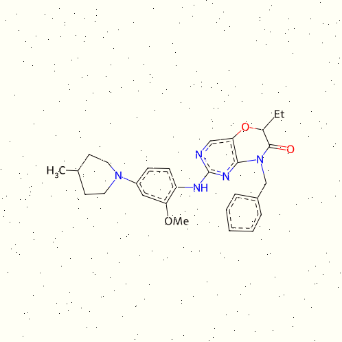 CCC1Oc2cnc(Nc3ccc(N4CCC(C)CC4)cc3OC)nc2N(Cc2ccccc2)C1=O